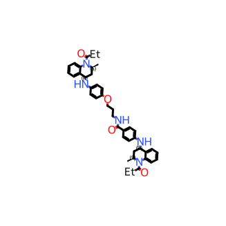 CCC(=O)N1c2ccccc2[C@H](Nc2ccc(OCCCNC(=O)c3ccc(N[C@@H]4C[C@H](C)N(C(=O)CC)c5ccccc54)cc3)cc2)C[C@@H]1C